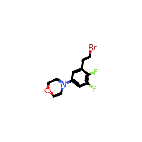 Fc1cc(N2CCOCC2)cc(CCBr)c1F